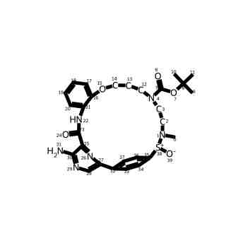 CN1CCN(C(=O)OC(C)(C)C)CCCOc2ccccc2NC(=O)c2nc(cnc2N)-c2ccc(cc2)[S+]1[O-]